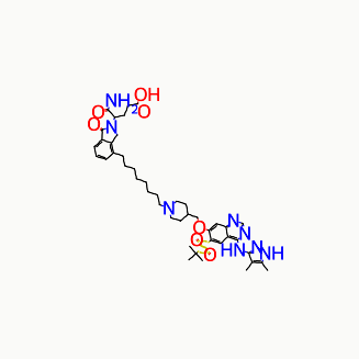 Cc1[nH]nc(Nc2ncnc3cc(OCC4CCN(CCCCCCCCc5cccc6c5CN(C(CCC(=O)O)C(N)=O)C6=O)CC4)c(S(=O)(=O)C(C)(C)C)cc23)c1C